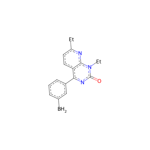 Bc1cccc(-c2nc(=O)n(CC)c3nc(CC)ccc23)c1